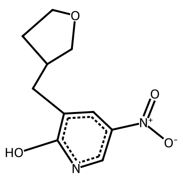 O=[N+]([O-])c1cnc(O)c(CC2CCOC2)c1